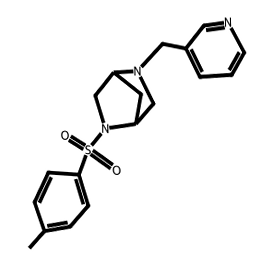 Cc1ccc(S(=O)(=O)N2CC3CC2CN3Cc2cccnc2)cc1